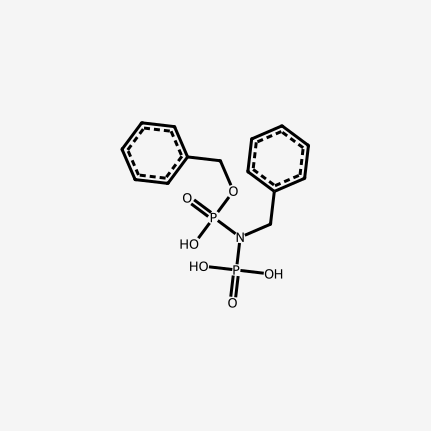 O=P(O)(O)N(Cc1ccccc1)P(=O)(O)OCc1ccccc1